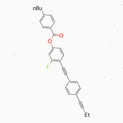 CCC#Cc1ccc(C#Cc2ccc(OC(=O)c3ccc(CCCC)cc3)cc2F)cc1